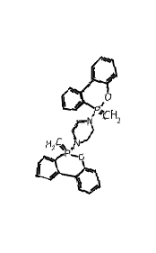 C=P1(N2CCN(P3(=C)Oc4ccccc4-c4ccccc43)CC2)Oc2ccccc2-c2ccccc21